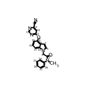 CN(C(=O)Cn1ccc2c(Oc3cc(C#N)ncn3)cccc21)c1ccccc1